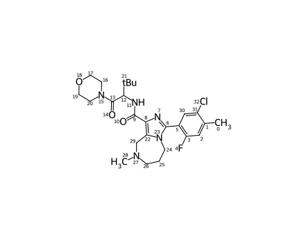 Cc1cc(F)c(-c2nc(C(=O)NC(C(=O)N3CCOCC3)C(C)(C)C)c3n2CCCN(C)C3)cc1Cl